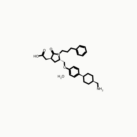 NC[C@H]1CC[C@@H](c2ccc(OC[C@@H]3C[C@@H](CC(=O)O)C(=O)N3CCCc3ccccc3)cc2)CC1.O